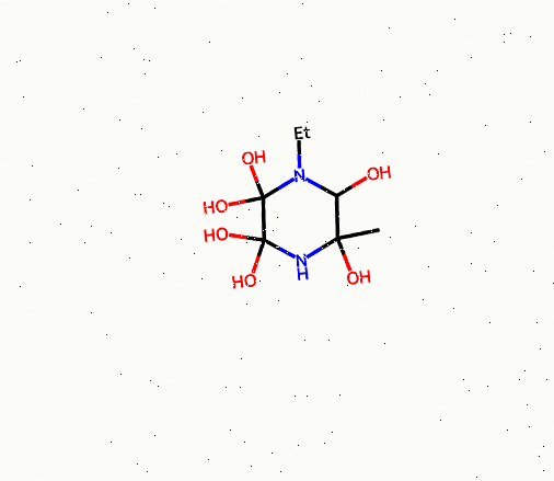 CCN1C(O)C(C)(O)NC(O)(O)C1(O)O